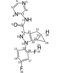 O=C(Nc1cnccn1)c1nn(-c2ccc(F)cc2F)c2c1C[C@H]1C[C@@H]21